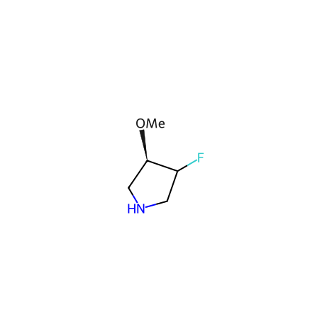 CO[C@@H]1CNCC1F